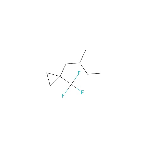 CCC(C)CC1(C(F)(F)F)CC1